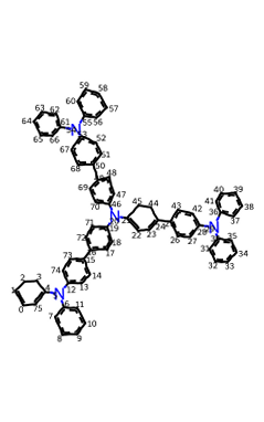 C1=CCCC(N(c2ccccc2)c2ccc(-c3ccc(N(C4=CC=C(c5ccc(N(c6ccccc6)c6ccccc6)cc5)CC4)c4ccc(-c5ccc(N(c6ccccc6)c6ccccc6)cc5)cc4)cc3)cc2)=C1